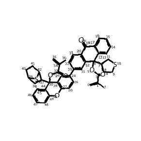 C=C(C)C(=O)OC1(C2CCSC2)c2ccccc2C(=O)c2ccc(-c3ccc4c(c3)C(OC(=O)C(=C)C)(C3CC5CCC3S5)c3ccccc3O4)cc21